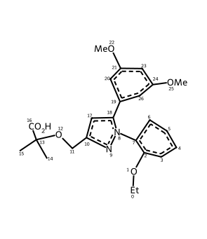 CCOc1ccccc1-n1nc(COC(C)(C)C(=O)O)cc1-c1cc(OC)cc(OC)c1